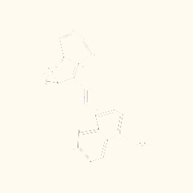 COc1ccc(/C=C/C2=c3ccccc3=[N+]3CC23)c2ccccc12